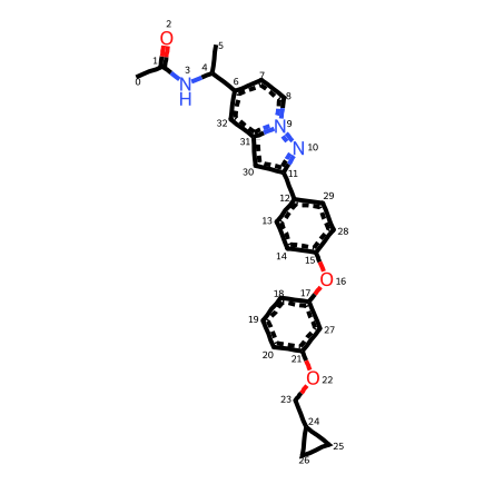 CC(=O)NC(C)c1ccn2nc(-c3ccc(Oc4cccc(OCC5CC5)c4)cc3)cc2c1